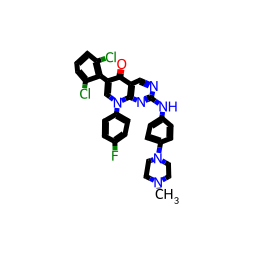 CN1CCN(c2ccc(Nc3ncc4c(=O)c(-c5c(Cl)cccc5Cl)cn(-c5ccc(F)cc5)c4n3)cc2)CC1